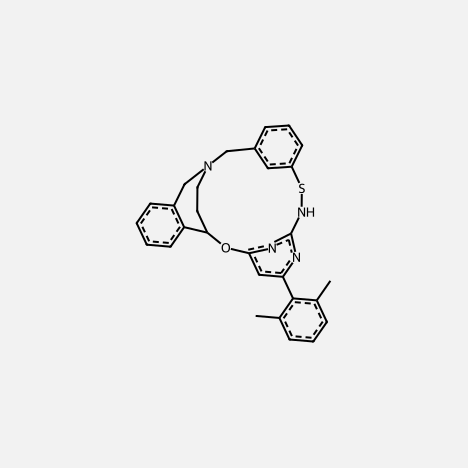 Cc1cccc(C)c1-c1cc2nc(n1)NSc1cccc(c1)CN1CCC(O2)c2ccccc2C1